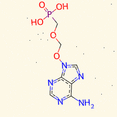 Nc1ncnc2c1ncn2OCOCP(=O)(O)O